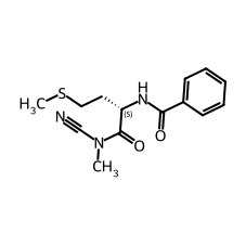 CSCC[C@H](NC(=O)c1ccccc1)C(=O)N(C)C#N